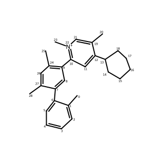 Cc1ccccc1-c1cc(-c2cc(C3CCCCC3)c(C)c[n+]2C)c(C)cc1C